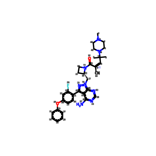 CN1CCN(C(C)(C)/C=C(/C#N)C(=O)N2CC[C@H]2Cn2nc(-c3ccc(Oc4ccccc4)cc3F)c3c(N)ncnc32)CC1